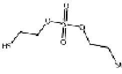 O=S(=O)(OCCS)OCCS